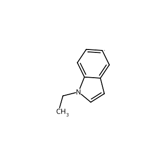 CCn1ccc2c[c]ccc21